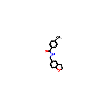 Cc1ccc(C(=O)NCc2ccc3c(c2)CCO3)cc1